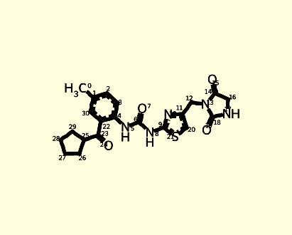 Cc1ccc(NC(=O)Nc2nc(CN3C(=O)CNC3=O)cs2)c(C(=O)C2CCCC2)c1